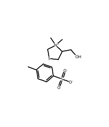 C[N+]1(C)CSCC1CO.Cc1ccc(S(=O)(=O)[O-])cc1